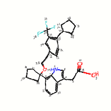 O=C(O)Cc1c[nH]c2c(C3(OCc4ccc(C5CCCC5)c(C(F)(F)F)c4)CCCC3)cccc12